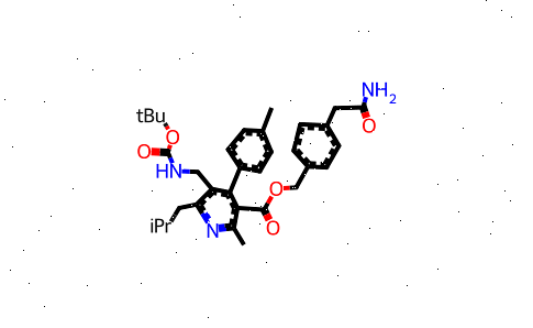 Cc1ccc(-c2c(CNC(=O)OC(C)(C)C)c(CC(C)C)nc(C)c2C(=O)OCc2ccc(CC(N)=O)cc2)cc1